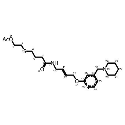 CC(=O)OCCSCCCC(=O)NCC=CCOc1cc(CN2CCCCC2)ccn1